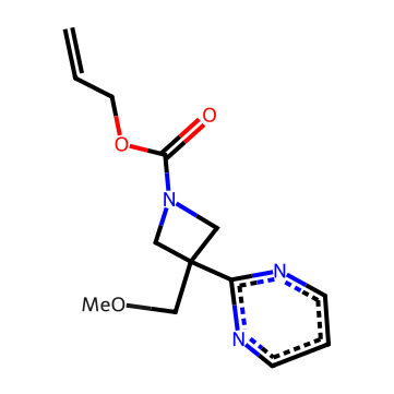 C=CCOC(=O)N1CC(COC)(c2ncccn2)C1